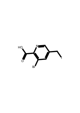 O=C(O)c1ncc(CI)cc1Br